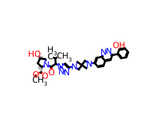 COC(=O)[C@@H]1C[C@@H](O)CN1C(=O)C(C(C)C)n1cc(N2CC3(CN(c4ccc5cc(-c6ccccc6O)nnc5c4)C3)C2)nn1